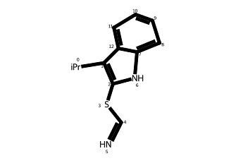 CC(C)c1c(SC=N)[nH]c2ccccc12